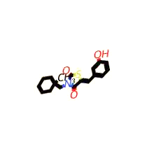 CC1(CN2C(=O)SC(=Cc3cccc(O)c3)C2=O)CCCCC1